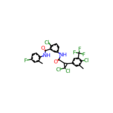 Cc1cc(F)ccc1NC(=O)c1cc(NC(=O)C2C(c3cc(C)c(Cl)c(C(F)(F)F)c3)C2(Cl)Cl)ccc1Cl